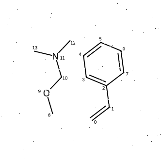 C=Cc1ccccc1.COCN(C)C